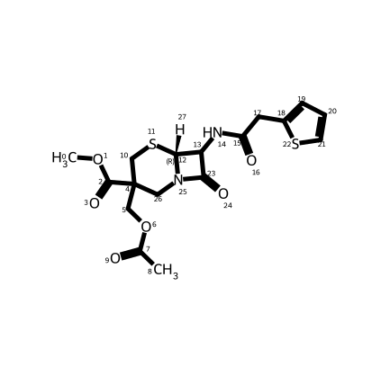 COC(=O)C1(COC(C)=O)CS[C@@H]2C(NC(=O)Cc3cccs3)C(=O)N2C1